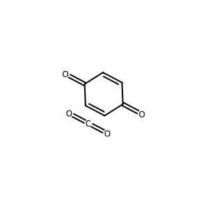 O=C1C=CC(=O)C=C1.O=C=O